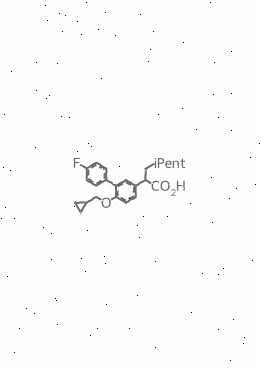 CCCC(C)CC(C(=O)O)c1ccc(OCC2CC2)c(-c2ccc(F)cc2)c1